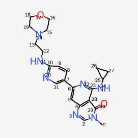 Cn1cnc2cc(-c3ccc(NCCN4CCOCC4)nc3)nc(NC3CC3)c2c1=O